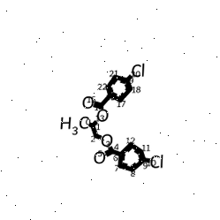 CC(COC(=O)c1ccc(Cl)cc1)OC(=O)c1ccc(Cl)cc1